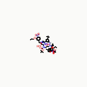 CCCOc1cc(C[C@H](N)[C@H](O)C(NC2(c3cccc(C(C)(C)C)c3)CC2)N(C(=O)OC(C)(C)C)[C@@H](Cc2ccc([N+](=O)[O-])c(OCCC)c2)[C@@H](O)CNC2(c3cccc(C(C)(C)C)c3)CC2)ccc1[N+](=O)[O-]